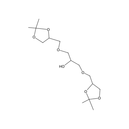 CC1(C)OCC(COCC(O)COCC2COC(C)(C)O2)O1